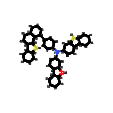 c1cc(-c2ccc(N(c3ccc4c(c3)oc3ccccc34)c3ccc4c(c3)sc3ccccc34)cc2)c2c(c1)ccc1c3ccccc3sc12